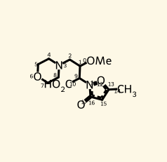 COC(CN1CCOCC1)C(C(=O)O)n1oc(C)cc1=O